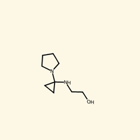 OCCNC1(N2CCCC2)CC1